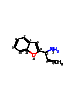 C=CC(N)c1cc2ccccc2o1